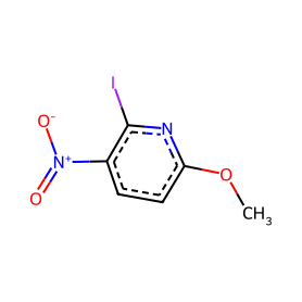 COc1ccc([N+](=O)[O-])c(I)n1